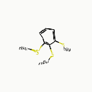 CCCCSc1c[c]cc(SCCCC)c1SCCCC